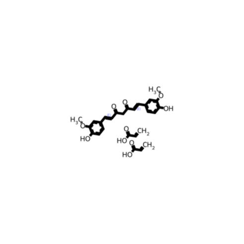 C=CC(=O)O.C=CC(=O)O.COc1cc(/C=C/C(=O)CC(=O)/C=C/c2ccc(O)c(OC)c2)ccc1O